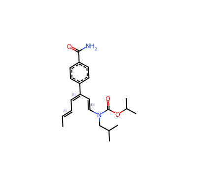 C/C=C/C=C(\C=C\N(CC(C)C)C(=O)OC(C)C)c1ccc(C(N)=O)cc1